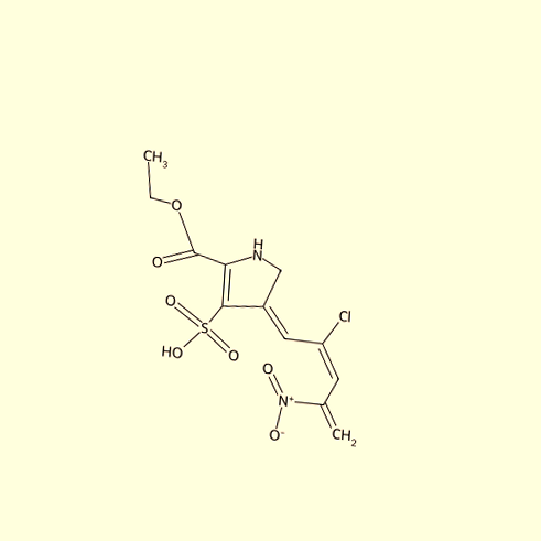 C=C(/C=C(Cl)\C=C1/CNC(C(=O)OCC)=C1S(=O)(=O)O)[N+](=O)[O-]